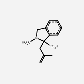 C=C(C)CC1(C(=O)O)c2ccccc2CN1C(=O)O